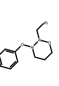 CC(C)[CH2][Al]1[O]CC[CH2][Al]1[O]c1ccccc1